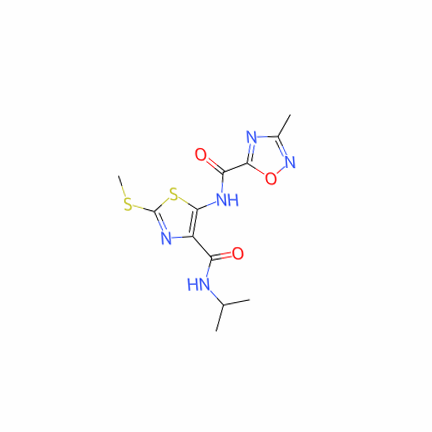 CSc1nc(C(=O)NC(C)C)c(NC(=O)c2nc(C)no2)s1